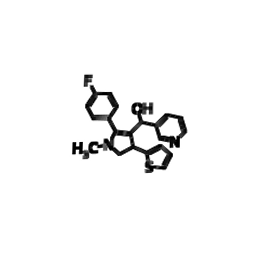 CN1CC(c2cccs2)C(C(O)c2cccnc2)=C1c1ccc(F)cc1